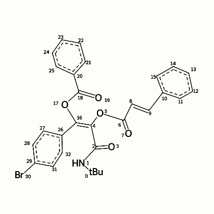 CC(C)(C)NC(=O)/C(OC(=O)C=Cc1ccccc1)=C(/OC(=O)c1ccccc1)c1ccc(Br)cc1